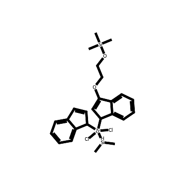 C[SiH](C)[Zr]([Cl])([Cl])([CH]1C=Cc2ccccc21)[CH]1C=C(OCCO[Si](C)(C)C)c2ccccc21